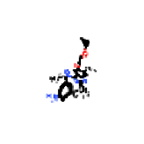 Cc1nc(N[C@H](C)c2cc(N)cc(C(F)(F)F)c2)c2cc(OCCOC3CC3)c(C(F)(F)F)cc2n1